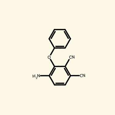 N#Cc1ccc(N)c(Oc2ccccc2)c1C#N